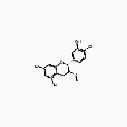 CO[C@H]1Cc2c(O)cc(O)cc2O[C@@H]1c1ccc(O)c(O)c1